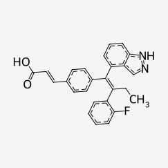 CCC(=C(c1ccc(C=CC(=O)O)cc1)c1cccc2[nH]ncc12)c1ccccc1F